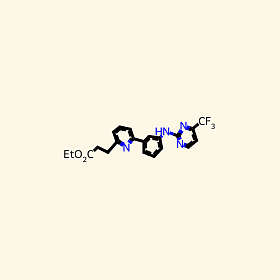 CCOC(=O)CCc1cccc(-c2cccc(Nc3nccc(C(F)(F)F)n3)c2)n1